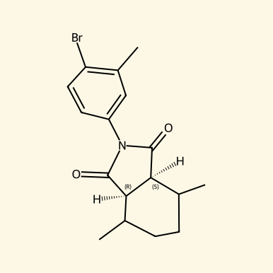 Cc1cc(N2C(=O)[C@@H]3C(C)CCC(C)[C@@H]3C2=O)ccc1Br